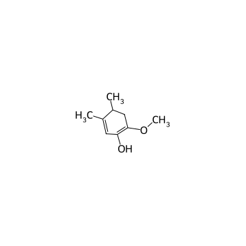 COC1=C(O)C=C(C)C(C)C1